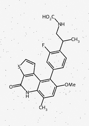 COc1cc(C)c2[nH]c(=O)c3sccc3c2c1-c1ccc(C(C)CNC(=O)O)c(F)c1